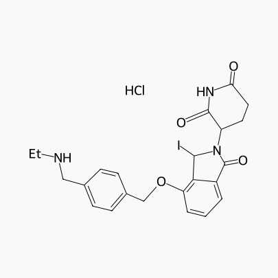 CCNCc1ccc(COc2cccc3c2C(I)N(C2CCC(=O)NC2=O)C3=O)cc1.Cl